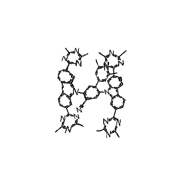 Cc1cc(-c2cc(-n3c4cc(-c5nc(C)nc(C)n5)ccc4c4ccc(-c5nc(C)nc(C)n5)cc43)c(C#N)cc2-n2c3cc(-c4nc(C)nc(C)n4)ccc3c3ccc(-c4nc(C)nc(C)n4)cc32)cc(C)n1